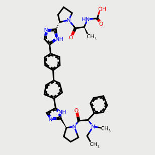 CCN(C)[C@@H](C(=O)N1CCC[C@H]1c1ncc(-c2ccc(-c3ccc(-c4cnc([C@@H]5CCCN5C(=O)[C@H](C)NC(=O)O)[nH]4)cc3)cc2)[nH]1)c1ccccc1